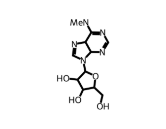 CNC1=NC=NC2C1N=CN2C1OC(CO)C(O)C1O